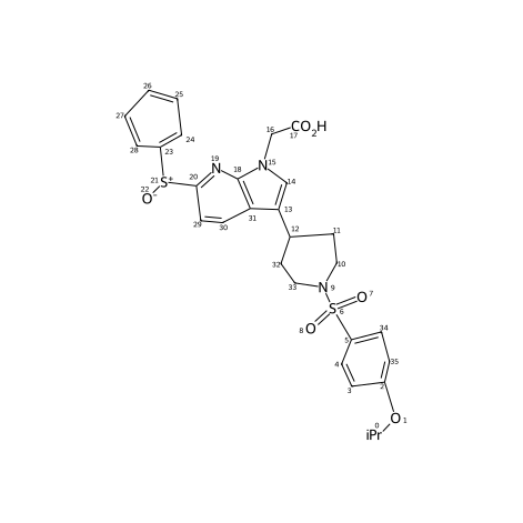 CC(C)Oc1ccc(S(=O)(=O)N2CCC(c3cn(CC(=O)O)c4nc([S+]([O-])c5ccccc5)ccc34)CC2)cc1